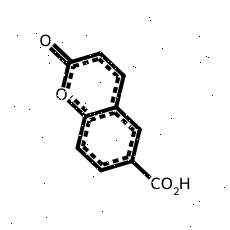 O=C(O)c1ccc2oc(=O)ccc2c1